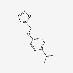 CC(C)c1ccc(OCc2cc[c]o2)cc1